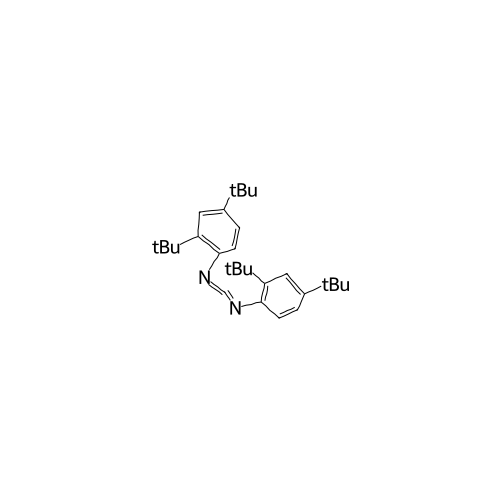 CC(C)(C)c1ccc(N=C=Nc2ccc(C(C)(C)C)cc2C(C)(C)C)c(C(C)(C)C)c1